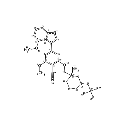 COc1cc(-c2cnc3cccc(OC)n23)cc(OC[C@@]2(N)CCCN(CC(F)(F)F)C2)c1C#N